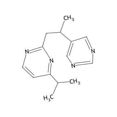 CC(C)c1ccnc(CC(C)c2cncnc2)n1